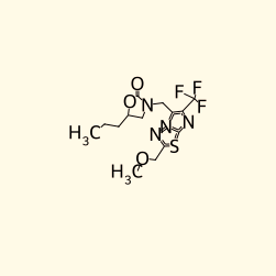 CCCC1CN(Cc2c(C(F)(F)F)nc3sc(COC)nn23)C(=O)O1